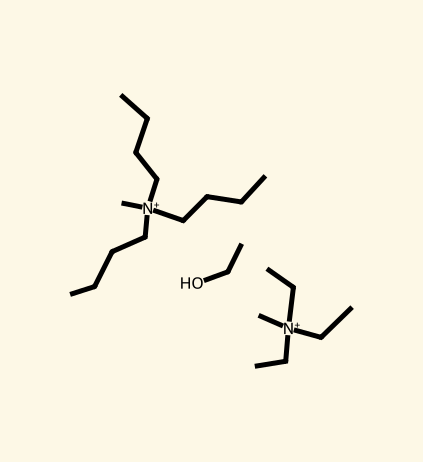 CCCC[N+](C)(CCCC)CCCC.CCO.CC[N+](C)(CC)CC